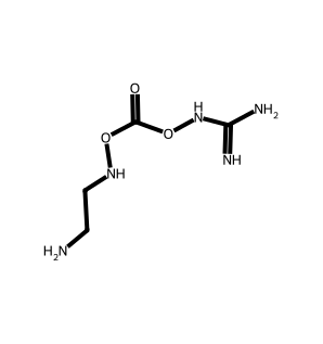 N=C(N)NOC(=O)ONCCN